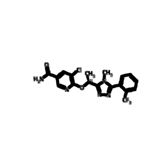 C[C@H](Oc1ncc(C(N)=O)cc1Cl)c1nnc(-c2ccccc2C(F)(F)F)n1C